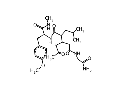 CNC(=O)[C@H](Cc1ccc(OC)cc1)NC(=O)C(CC(C)C)C(CC(=O)NCC(N)=O)SC(C)=O